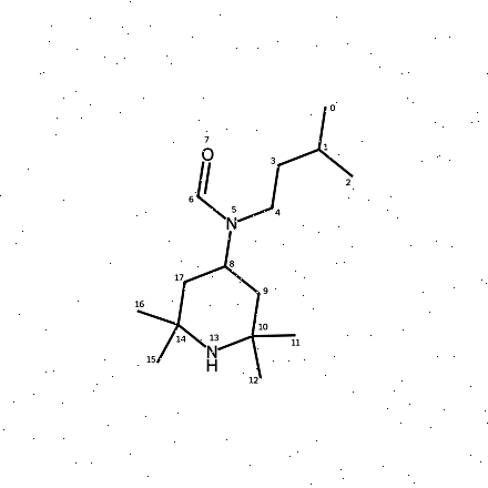 CC(C)CCN(C=O)C1CC(C)(C)NC(C)(C)C1